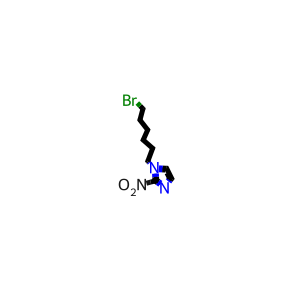 O=[N+]([O-])c1nccn1CCCCCCBr